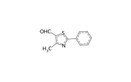 Cc1nc(-c2ccccc2)sc1[C]=O